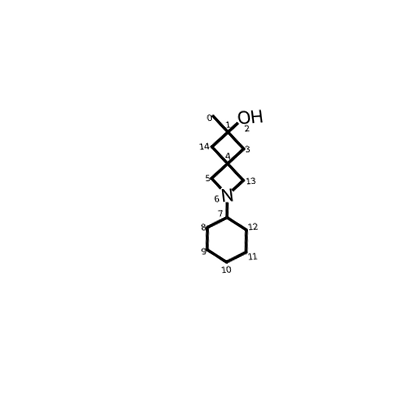 CC1(O)CC2(CN(C3CCCCC3)C2)C1